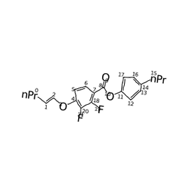 CCC/C=C/Oc1ccc(C(=O)Oc2ccc(CCC)cc2)c(F)c1F